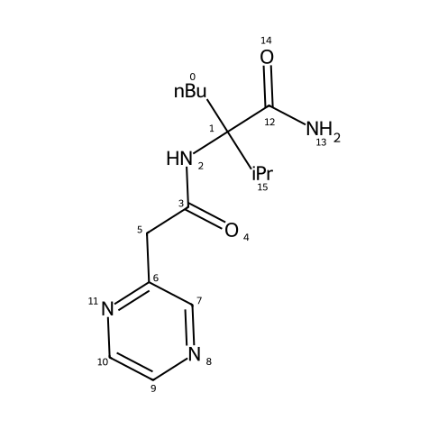 CCCCC(NC(=O)Cc1cnccn1)(C(N)=O)C(C)C